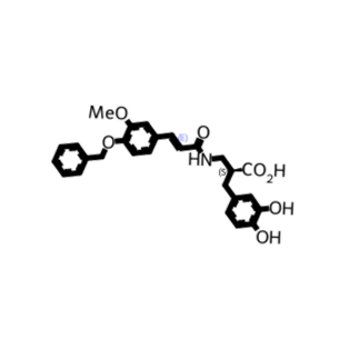 COc1cc(/C=C/C(=O)NC[C@H](Cc2ccc(O)c(O)c2)C(=O)O)ccc1OCc1ccccc1